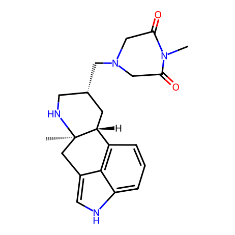 CN1C(=O)CN(C[C@H]2CN[C@]3(C)Cc4c[nH]c5cccc(c45)[C@H]3C2)CC1=O